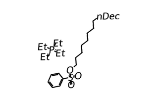 CCCCCCCCCCCCCCCCCCOS(=O)(=O)c1ccccc1.CC[P](CC)(CC)CC